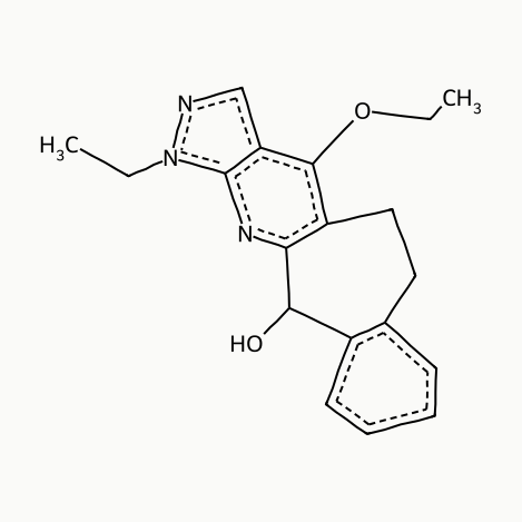 CCOc1c2c(nc3c1cnn3CC)C(O)c1ccccc1CC2